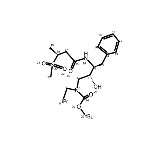 CC(C)CN(C[C@@H](O)[C@H](Cc1ccccc1)NC(=O)C[C@H](C)S(C)(=O)=O)C(=O)OC(C)(C)C